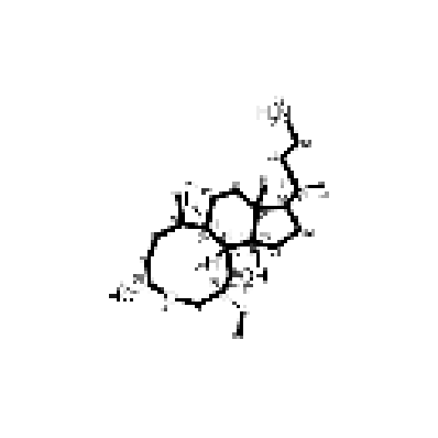 CC[C@@H]1CC[C@H](O)CCC(C)[C@H]2CCC3(C)C([C@H](C)CCN)CC[C@H]3[C@@H]2[C@@H]1O